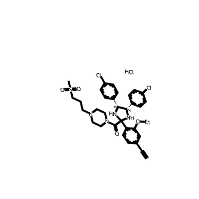 C#Cc1ccc(C2(C(=O)N3CCN(CCCS(C)(=O)=O)CC3)N[C@H](c3ccc(Cl)cc3)[C@H](c3ccc(Cl)cc3)N2)c(OCC)c1.Cl